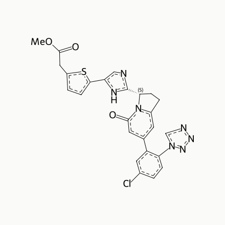 COC(=O)Cc1ccc(-c2cnc([C@@H]3CCc4cc(-c5cc(Cl)ccc5-n5cnnn5)cc(=O)n43)[nH]2)s1